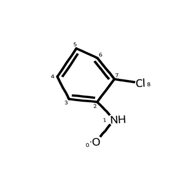 [O]Nc1ccccc1Cl